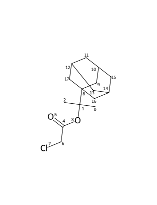 CC(C)(OC(=O)CCl)C12CC3CC(CC(C3)C1)C2